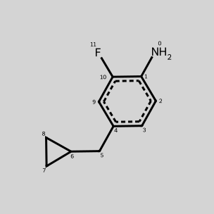 Nc1ccc(CC2CC2)cc1F